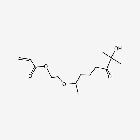 C=CC(=O)OCCOC(C)CCCC(=O)C(C)(C)O